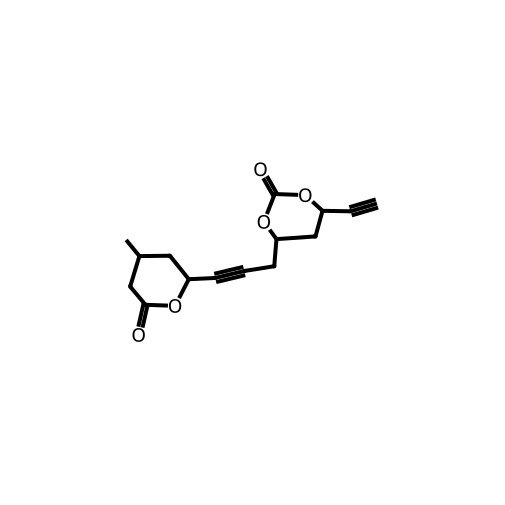 C#CC1CC(CC#CC2CC(C)CC(=O)O2)OC(=O)O1